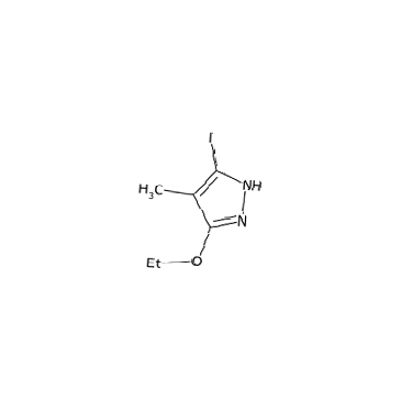 CCOc1n[nH]c(I)c1C